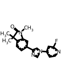 CN1C(=O)C(C)(C)c2ccc(-c3cn(-c4ccnc(F)c4)cn3)cc21